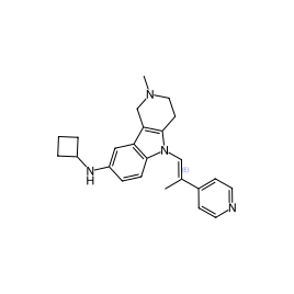 C/C(=C\n1c2c(c3cc(NC4CCC4)ccc31)CN(C)CC2)c1ccncc1